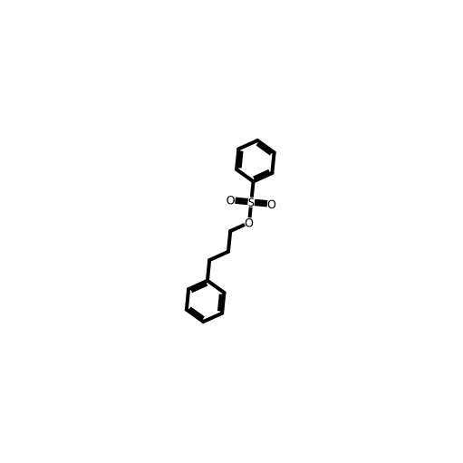 O=S(=O)(OCCCc1ccccc1)c1ccccc1